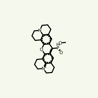 CO[PH](=O)C1=c2cc3c4c(c2Oc2c1cc1c5c2CCCN5CCC1)CCC[N+]=4CCC3